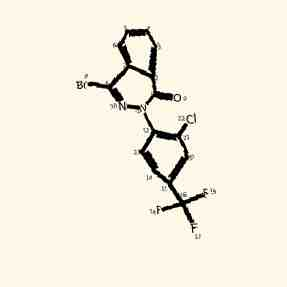 O=c1c2ccccc2c(Br)nn1-c1ccc(C(F)(F)F)cc1Cl